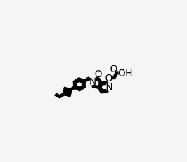 CCC1=CC(c2ccc(CN3Cc4ccnc(OCC(=O)O)c4C3=O)cc2)=C1